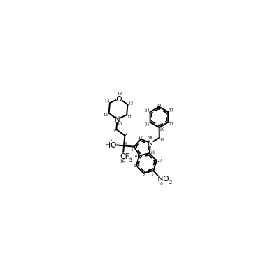 O=[N+]([O-])c1ccc2c(C(O)(CCN3CCOCC3)C(F)(F)F)cn(Cc3ccccc3)c2c1